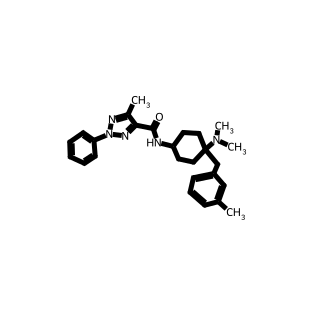 Cc1cccc(CC2(N(C)C)CCC(NC(=O)c3nn(-c4ccccc4)nc3C)CC2)c1